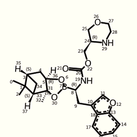 CC1(C)[C@@H]2C[C@H]3OB([C@H](Cc4coc5ccccc45)NC(=O)OC[C@H]4COCCN4)O[C@@]3(C)[C@H]1C2